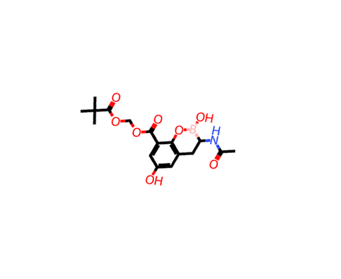 CC(=O)NC1Cc2cc(O)cc(C(=O)OCOC(=O)C(C)(C)C)c2OB1O